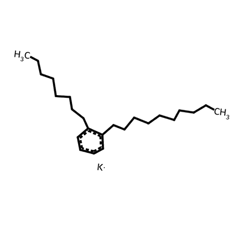 CCCCCCCCCCc1ccccc1CCCCCCCC.[K]